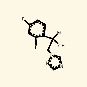 CCC(O)(Cn1cncn1)c1ccc(F)cc1F